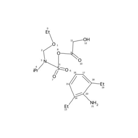 CCOCN(C(C)C)S(=O)(=O)OC(=O)CO.CCc1cccc(CC)c1N